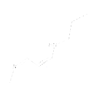 CCCN/C=C\C=N/C